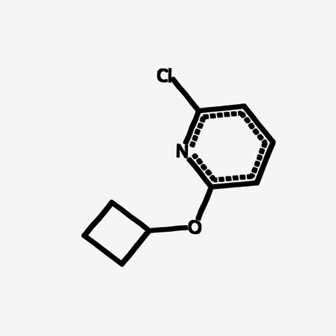 Clc1cccc(OC2CCC2)n1